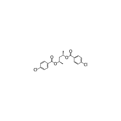 C[C@H](C[C@@H](C)OC(=O)c1ccc(Cl)cc1)OC(=O)c1ccc(Cl)cc1